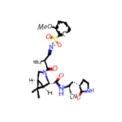 COc1ccccc1S(=O)(=O)[N+]#CC(C(=O)N1C[C@H]2[C@@H]([C@H]1C(=O)N[C@H](C#N)C[C@@H]1CCNC1=O)C2(C)C)C(C)(C)C